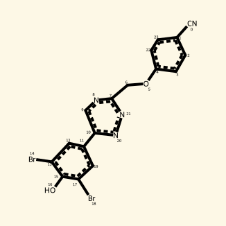 N#Cc1ccc(OCc2ncc(-c3cc(Br)c(O)c(Br)c3)nn2)cc1